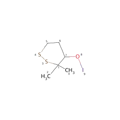 CC1(C)SSCCC1OI